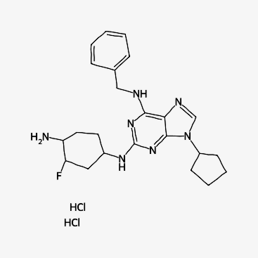 Cl.Cl.NC1CCC(Nc2nc(NCc3ccccc3)c3ncn(C4CCCC4)c3n2)CC1F